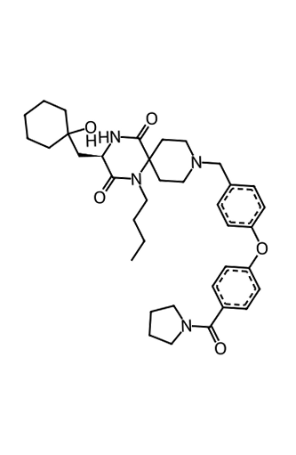 CCCCN1C(=O)[C@@H](CC2(O)CCCCC2)NC(=O)C12CCN(Cc1ccc(Oc3ccc(C(=O)N4CCCC4)cc3)cc1)CC2